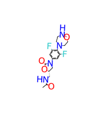 CC(=O)NC[C@H]1CN(c2cc(F)c(N3CCNOCC3)c(F)c2)C(=O)O1